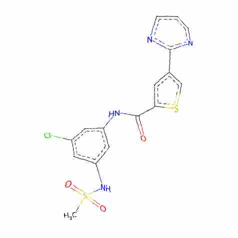 CS(=O)(=O)Nc1cc(Cl)cc(NC(=O)c2cc(-c3ncccn3)cs2)c1